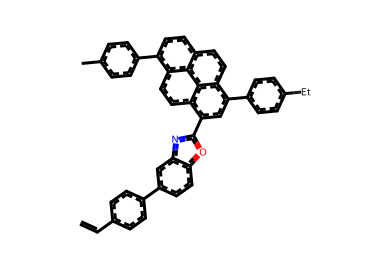 C=Cc1ccc(-c2ccc3oc(-c4cc(-c5ccc(CC)cc5)c5ccc6ccc(-c7ccc(C)cc7)c7ccc4c5c67)nc3c2)cc1